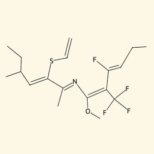 C=CSC(=C\C(C)CC)/C(C)=N/C(OC)=C(\C(F)=C\CC)C(F)(F)F